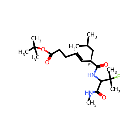 CNC(=O)C(NC(=O)[C@@H](C=CCCC(=O)OC(C)(C)C)CC(C)C)C(C)(C)F